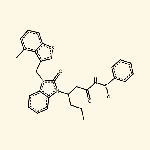 CCCC(CC(=O)N[S+]([O-])c1ccccc1)n1c(=O)n(Cc2csc3cccc(C)c23)c2ccccc21